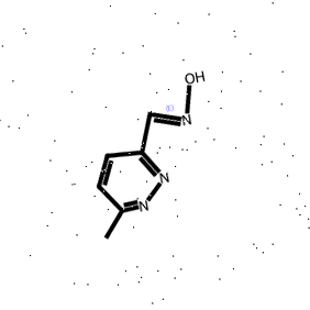 Cc1ccc(/C=N/O)nn1